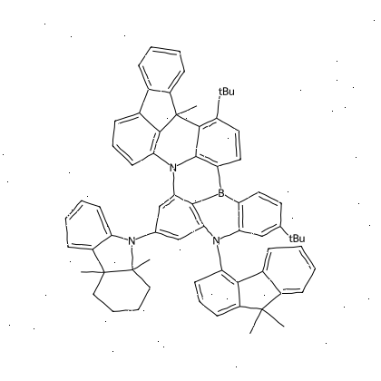 CC(C)(C)c1ccc2c(c1)N(c1cccc3c1-c1ccccc1C3(C)C)c1cc(N3c4ccccc4C4(C)CCCCC34C)cc3c1B2c1ccc(C(C)(C)C)c2c1N3c1cccc3c1C2(C)c1ccccc1-3